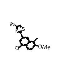 COc1ccc2c(Cl)cc(-c3nc(C(C)C)cs3)cc2c1C